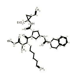 C=CCCCCC[C@@H](C(=O)N1C[C@H](OC(=O)N2CCc3ccccc3C2)C[C@H]1C(=O)N[C@]1(C(=O)OCC)C[C@H]1C=C)N(C)C(=O)OC(C)(C)C